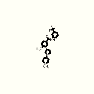 Cc1ccc(C(=O)Nc2cccc(C(F)(F)F)c2)cc1[C@@H]1CCN(C2=CCN(C)C=C2)C1